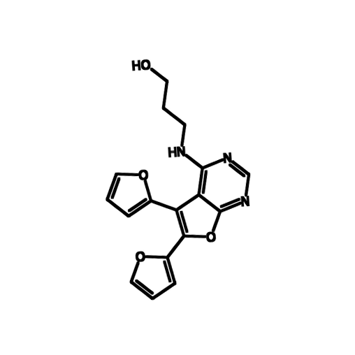 OCCCNc1ncnc2oc(-c3ccco3)c(-c3ccco3)c12